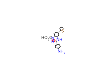 Nc1ccc(C(=O)Nc2cc(-c3cccs3)ccc2NC(=O)O)cc1